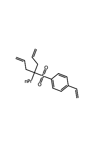 C=CCC(CC=C)(CCC)S(=O)(=O)c1ccc(C=C)cc1